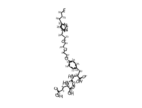 O=C(O)CCC(NC(=O)NC(Cc1ccc(OCCOCCOCCn2cc(CCCF)nn2)cc1)C(=O)O)C(=O)O